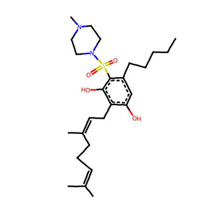 CCCCCc1cc(O)c(CC=C(C)CCC=C(C)C)c(O)c1S(=O)(=O)N1CCN(C)CC1